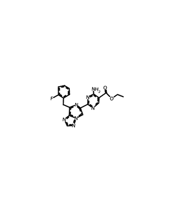 CCOC(=O)c1cnc(-c2cn3ncnc3c(Cc3ccccc3F)n2)nc1N